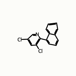 Clc1cnc(-c2cccc3ccccc23)c(Cl)c1